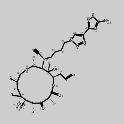 B[C@@H]1[C@@H](C)C(=O)[C@@H](C)C(=O)O[C@H](CC=C)[C@@](C)(O)[C@H](N(C#C)CCCCn2cc(-c3nsc(N)n3)nn2)[C@@H](C)NC[C@H](C)C[C@@]1(C)OC